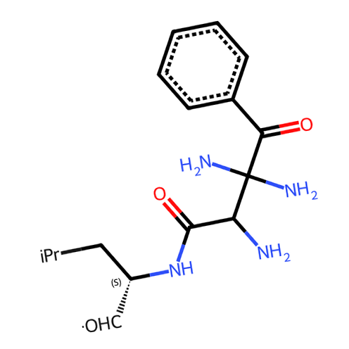 CC(C)C[C@@H]([C]=O)NC(=O)C(N)C(N)(N)C(=O)c1ccccc1